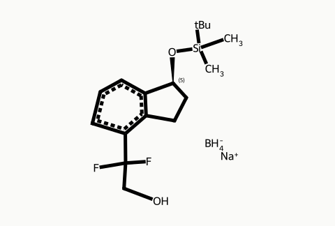 CC(C)(C)[Si](C)(C)O[C@H]1CCc2c1cccc2C(F)(F)CO.[BH4-].[Na+]